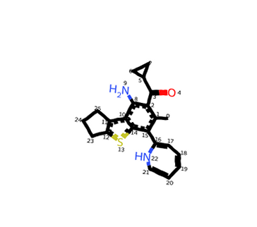 Cc1c(C(=O)C2CC2)c(N)c2c3c(sc2c1C1=CC=CC=CN1)CCC3